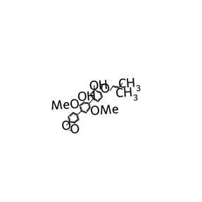 COc1cc(-c2ccc3c(c2)OCO3)c(OC)c(O)c1-c1ccc(OCC=C(C)C)c(O)c1